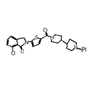 CC(C)N1CCC(C2CCN(C(=O)c3ccc(N4Cc5cccc(Cl)c5C4=O)s3)CC2)CC1